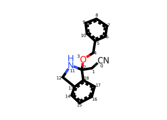 N#CCC1(OCc2ccccc2)NCc2ccccc21